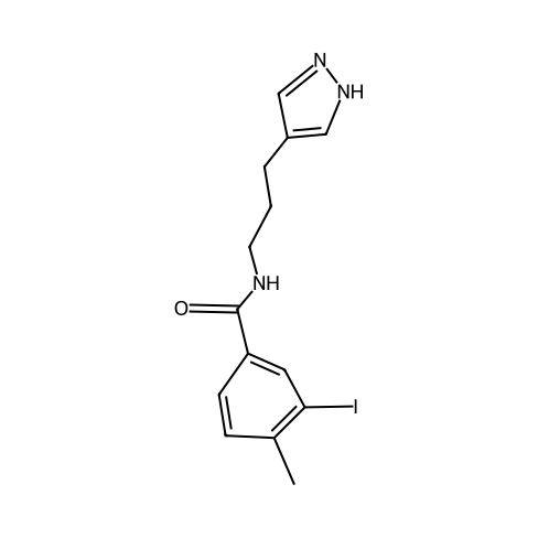 Cc1ccc(C(=O)NCCCc2cn[nH]c2)cc1I